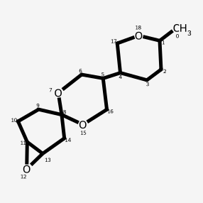 CC1CCC(C2COC3(CCC4OC4C3)OC2)CO1